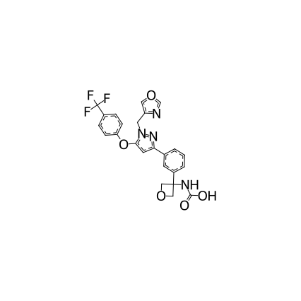 O=C(O)NC1(c2cccc(-c3cc(Oc4ccc(C(F)(F)F)cc4)n(Cc4cocn4)n3)c2)COC1